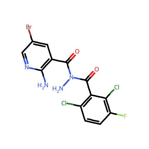 Nc1ncc(Br)cc1C(=O)N(N)C(=O)c1c(Cl)ccc(F)c1Cl